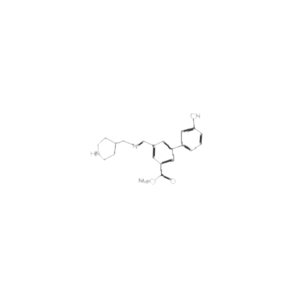 COC(=O)c1cc(/C=N/CC2CCNCC2)cc(-c2cccc(C#N)c2)c1